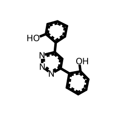 Oc1ccccc1-c1cc(-c2ccccc2O)nnn1